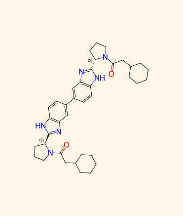 O=C(CC1CCCCC1)N1CCC[C@H]1c1nc2cc(-c3ccc4[nH]c([C@@H]5CCCN5C(=O)CC5CCCCC5)nc4c3)ccc2[nH]1